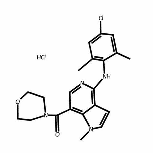 Cc1cc(Cl)cc(C)c1Nc1ncc(C(=O)N2CCOCC2)c2c1ccn2C.Cl